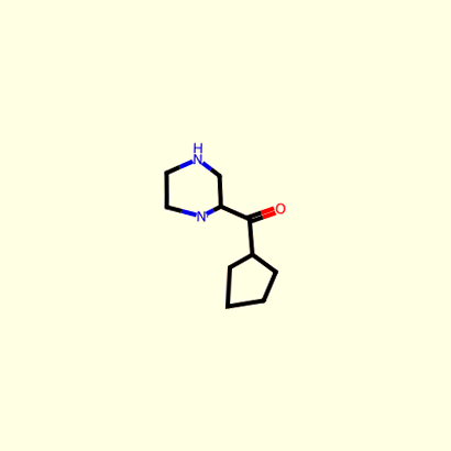 O=C(C1CCCC1)C1CNCC[N]1